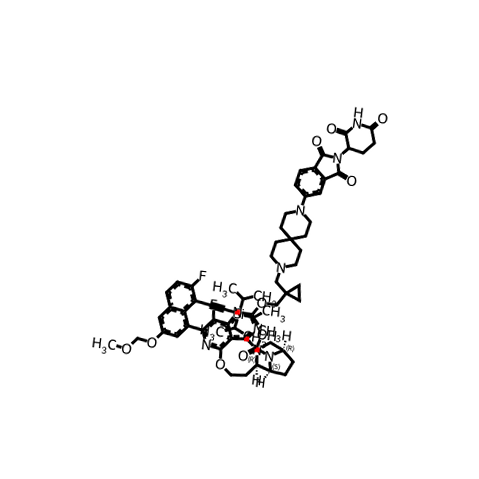 COCOc1cc(-c2nc3c4c(nc(OCC5(CN6CCC7(CC6)CCN(c6ccc8c(c6)C(=O)N(C6CCC(=O)NC6=O)C8=O)CC7)CC5)nc4c2F)N2C[C@H]4CC[C@@H]([C@H]2CCO3)N4C(=O)O)c2c(C#C[Si](C(C)C)(C(C)C)C(C)C)c(F)ccc2c1